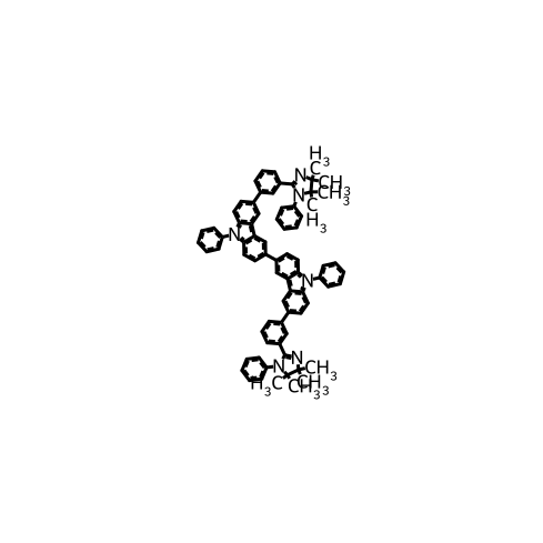 CC1(C)N=C(c2cccc(-c3ccc4c(c3)c3cc(-c5ccc6c(c5)c5cc(-c7cccc(C8=NC(C)(C)C(C)(C)N8c8ccccc8)c7)ccc5n6-c5ccccc5)ccc3n4-c3ccccc3)c2)N(c2ccccc2)C1(C)C